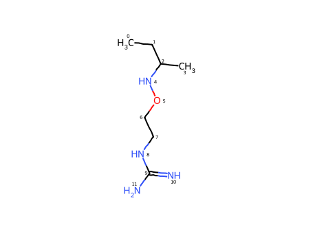 CCC(C)NOCCNC(=N)N